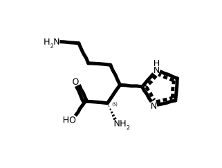 NCCCC(c1ncc[nH]1)[C@H](N)C(=O)O